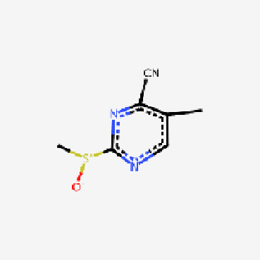 Cc1cnc([S+](C)[O-])nc1C#N